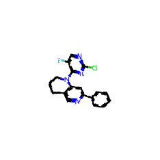 Fc1cnc(Cl)nc1N1CCCc2cnc(-c3ccccc3)cc21